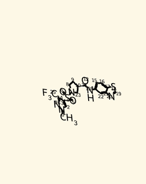 Cn1cc(S(=O)(=O)N2CC[C@@H](C(=O)Nc3ccc4scnc4c3)C2)c(C(F)(F)F)n1